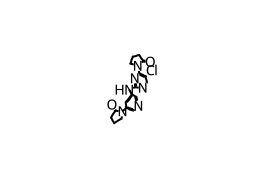 O=C1CCCN1c1cncc(Nc2ncc(Cl)c(N3CCCC3=O)n2)c1